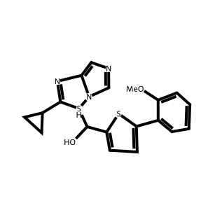 COc1ccccc1-c1ccc(C(O)[SH]2C(C3CC3)=Nc3cncn32)s1